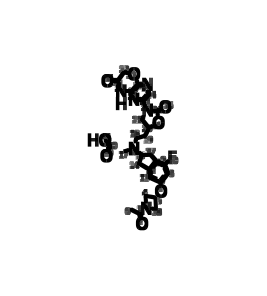 CC(=O)N1CC(Oc2cc(F)c3c(c2)CC(N(C)CCC2CN(c4cnc5c(n4)NC(=O)CO5)C(=O)O2)C3)C1.O=CO